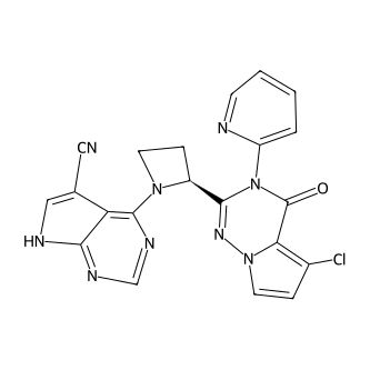 N#Cc1c[nH]c2ncnc(N3CC[C@H]3c3nn4ccc(Cl)c4c(=O)n3-c3ccccn3)c12